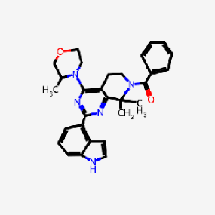 CC1COCCN1c1nc(-c2cccc3[nH]ccc23)nc2c1CCN(C(=O)c1ccccc1)C2(C)C